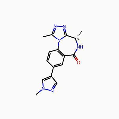 Cc1nnc2n1-c1ccc(-c3cnn(C)c3)cc1C(=O)N[C@H]2C